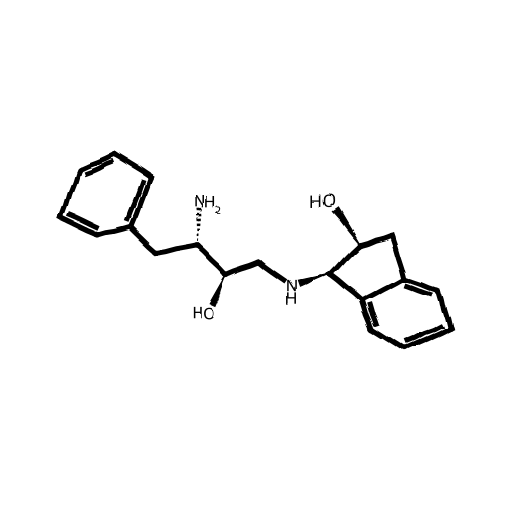 N[C@@H](Cc1ccccc1)[C@H](O)CN[C@@H]1c2ccccc2C[C@@H]1O